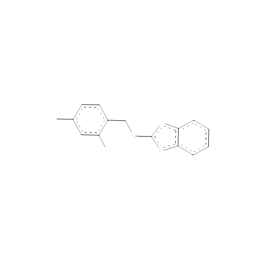 Clc1ccc(CNc2nc3ccccc3s2)c(Cl)c1